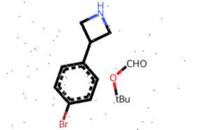 Brc1ccc(C2CNC2)cc1.CC(C)(C)OC=O